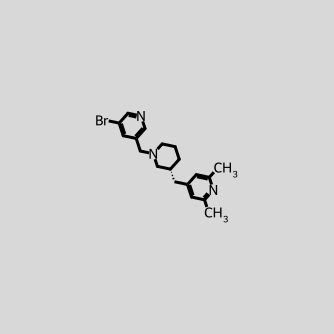 Cc1cc(C[C@H]2CCCN(Cc3cncc(Br)c3)C2)cc(C)n1